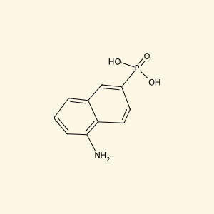 Nc1cccc2cc(P(=O)(O)O)ccc12